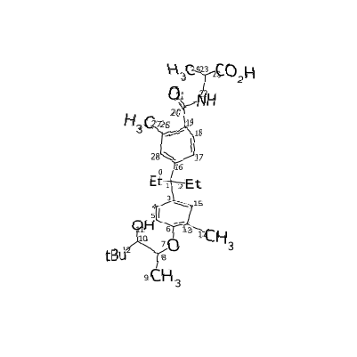 CCC(CC)(c1ccc(OC(C)C(O)C(C)(C)C)c(C)c1)c1ccc(C(=O)NC(C)C(=O)O)c(C)c1